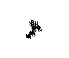 CC(=O)c1nn(CC(=O)N2[C@H](C)[C@@H](CNC(=O)C3=C(F)CCC3)C[C@H]2C(=O)Nc2nc(Br)ccc2C)c2c(C)cc(-c3cnc(C)nc3)cc12